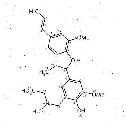 C/C=C/c1cc(OC)c2c(c1)C(C)C(c1cc(CN(C)CC(=O)O)c(O)c(OC)c1)O2